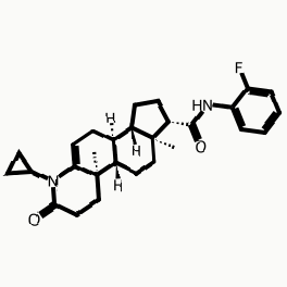 C[C@]12CC[C@H]3[C@@H](CC=C4N(C5CC5)C(=O)CC[C@@]43C)[C@@H]1CC[C@@H]2C(=O)Nc1ccccc1F